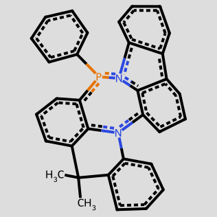 CC1(C)c2ccccc2-n2c3cccc4c5ccccc5n(c43)p(-c3ccccc3)c3cccc1c32